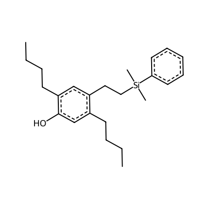 CCCCc1cc(CC[Si](C)(C)c2ccccc2)c(CCCC)cc1O